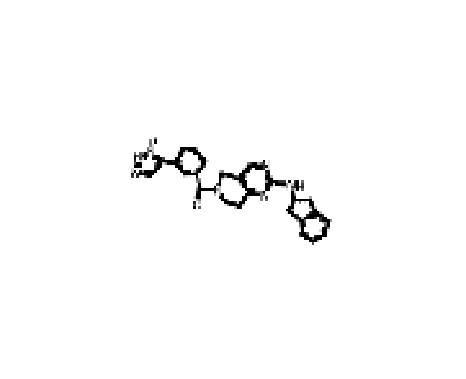 O=C(c1cccc(-c2cnn[nH]2)c1)N1CCc2nc(NC3Cc4ccccc4C3)ncc2C1